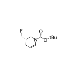 CC(C)(C)OC(=O)N1C=CC[C@H](CF)C1